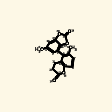 Cc1cc(-c2c(C)ccc3c2CCC(=O)O3)c2oc(=O)oc2c1